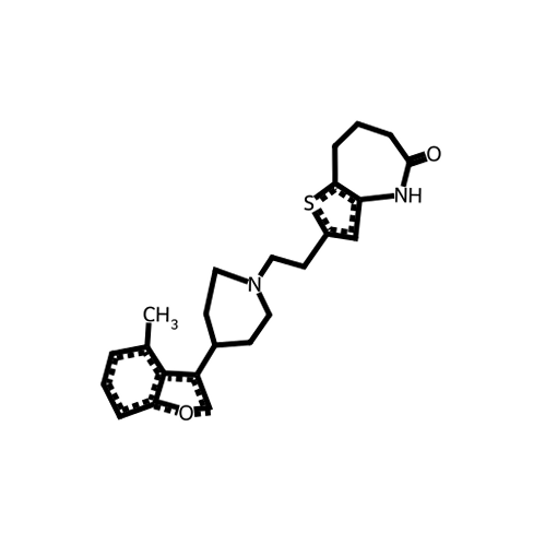 Cc1cccc2occ(C3CCN(CCc4cc5c(s4)CCCC(=O)N5)CC3)c12